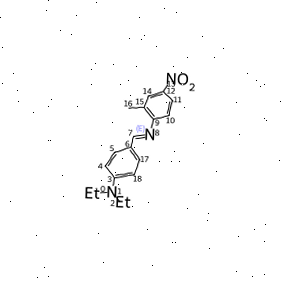 CCN(CC)c1ccc(/C=N/c2ccc([N+](=O)[O-])cc2C)cc1